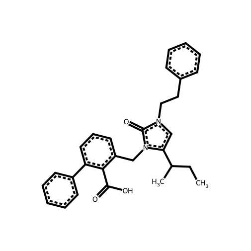 CCC(C)c1cn(CCc2ccccc2)c(=O)n1Cc1cccc(-c2ccccc2)c1C(=O)O